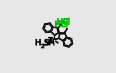 CC1=C(C)[CH]([Zr]([CH3])([CH3])(=[SiH2])[CH]2C(C)=C(C)c3ccccc32)c2ccccc21.Cl.Cl